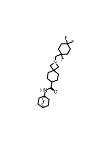 O=C(NC12CCC(CC1)CC2)C1CCC2(CC1)CN(CC1(F)CCC(F)(F)CC1)C2